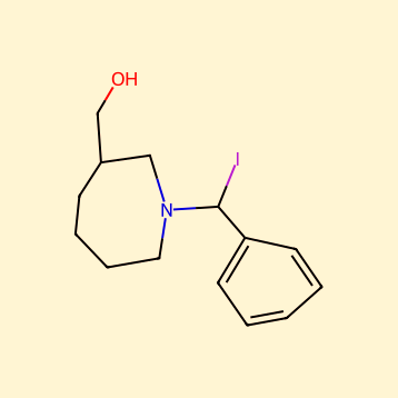 OCC1CCCCN(C(I)c2ccccc2)C1